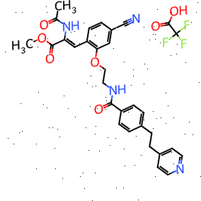 COC(=O)C(=Cc1ccc(C#N)cc1OCCNC(=O)c1ccc(CCc2ccncc2)cc1)NC(C)=O.O=C(O)C(F)(F)F